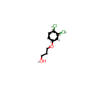 OCCCOc1ccc(Cl)c(Cl)c1